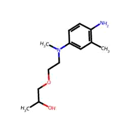 Cc1cc(N(C)CCOCC(C)O)ccc1N